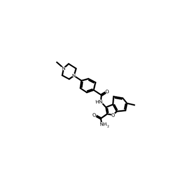 Cc1ccc2c(NC(=O)c3ccc(N4CCN(C)CC4)cc3)c(C(N)=O)oc2c1